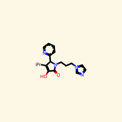 CC(C)C1=C(O)C(=O)N(CCCn2ccnc2)C1c1ccccn1